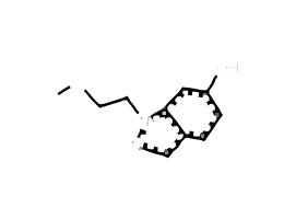 COCCn1ncc2ccc(O)cc21